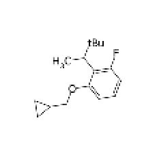 CC(c1c(F)cccc1OCC1CC1)C(C)(C)C